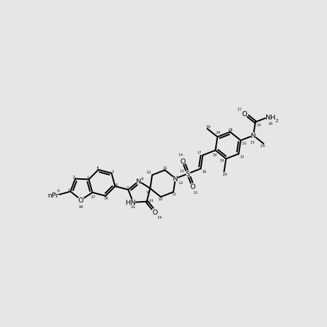 CCCc1cc2ccc(C3=NC4(CCN(S(=O)(=O)/C=C/c5c(C)cc(N(C)C(N)=O)cc5C)CC4)C(=O)N3)cc2o1